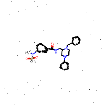 CN(c1ccc(C(=O)NCC2CN(c3ccccc3)CCN2Cc2ccccc2)cc1)S(C)(=O)=O